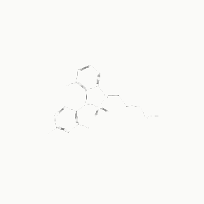 CNCCCN1c2cccc(F)c2N(c2ccc(F)cc2F)S1(=O)=O